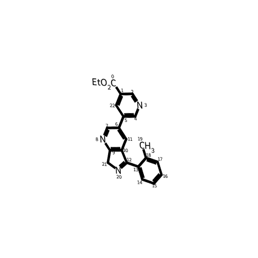 CCOC(=O)c1cncc(-c2cnc3c(c2)C(c2ccccc2C)=NC3)c1